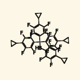 Fc1c(F)c(C2CC2)c(F)c(F)c1BC(c1c(F)c(F)c(C2CC2)c(F)c1F)(c1c(F)c(F)c(C2CC2)c(F)c1F)c1c(F)c(F)c(C2CC2)c(F)c1F